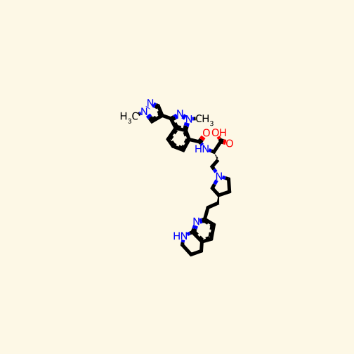 Cn1cc(-c2nn(C)c3c(C(=O)N[C@@H](CCN4CC[C@@H](CCc5ccc6c(n5)NCCC6)C4)C(=O)O)cccc23)cn1